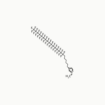 C=C[n+]1ccn(CCCCCCC(F)(F)C(F)(F)C(F)(F)C(F)(F)C(F)(F)C(F)(F)C(F)(F)C(F)(F)C(F)(F)C(F)(F)C(F)(F)C(F)(F)C(F)(F)C(F)(F)C(F)(F)C(F)(F)F)c1